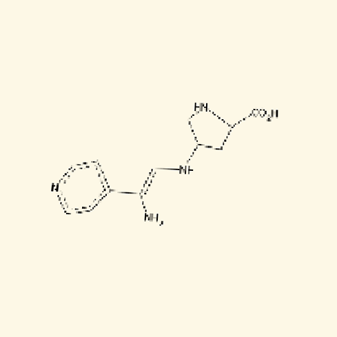 N/C(=C\NC1CNC(C(=O)O)C1)c1ccncc1